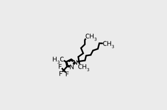 CCCCCCCC(C)(CCCCCC)n1cc(C)c(C(F)(F)F)n1